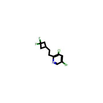 FC1(F)CC(CCc2ncc(Br)cc2Cl)C1